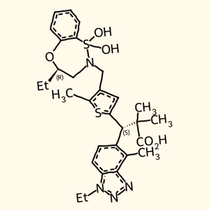 CC[C@@H]1CN(Cc2cc([C@@H](c3ccc4c(nnn4CC)c3C)C(C)(C)C(=O)O)sc2C)S(O)(O)c2ccccc2O1